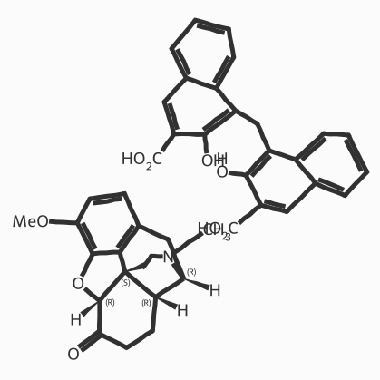 COc1ccc2c3c1O[C@H]1C(=O)CC[C@H]4[C@@H](C2)N(C)CC[C@]314.O=C(O)c1cc2ccccc2c(Cc2c(O)c(C(=O)O)cc3ccccc23)c1O